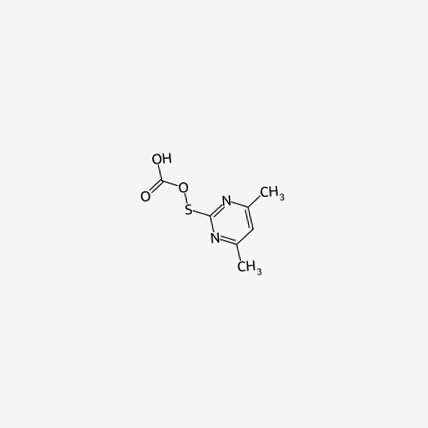 Cc1cc(C)nc(SOC(=O)O)n1